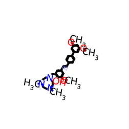 COc1cc(OC)cc(-c2ccc(/C=C/c3cc(CN4CCN(C)CCN(C)CC4)c(O)c(OC)c3)cc2)c1